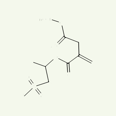 C=C(CC(=O)OCCCCCCCC)C(=O)OC(C)CS(C)(=O)=O